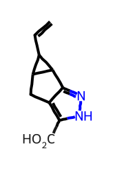 C=CC1C2Cc3c(n[nH]c3C(=O)O)C12